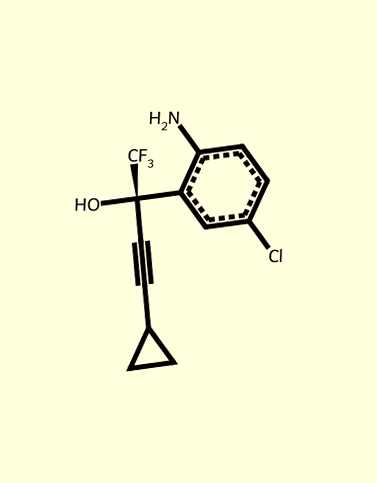 Nc1ccc(Cl)cc1[C@@](O)(C#CC1CC1)C(F)(F)F